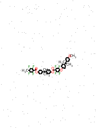 COc1ccc(C(C)(C)c2ccc(Oc3c(F)c(F)c(C(=O)Oc4ccc(C(C)(C)c5ccc(OC(=O)c6c(F)c(F)c(C)c(F)c6F)cc5)cc4)c(F)c3F)cc2)cc1